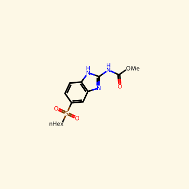 CCCCCCS(=O)(=O)c1ccc2[nH]c(NC(=O)OC)nc2c1